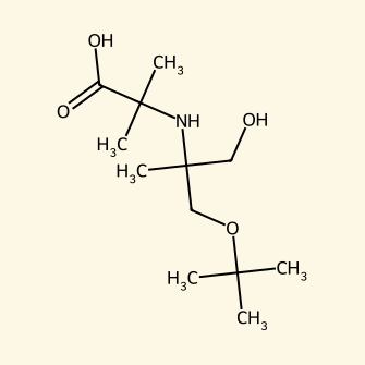 CC(CO)(COC(C)(C)C)NC(C)(C)C(=O)O